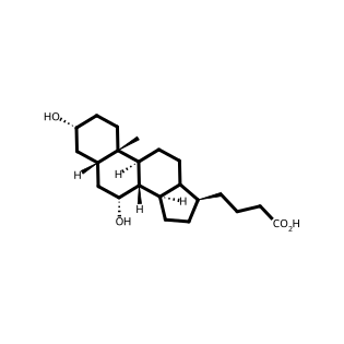 C[C@]12CC[C@@H](O)C[C@H]1C[C@@H](O)[C@H]1[C@@H]3CC[C@H](CCCC(=O)O)C3CC[C@@H]12